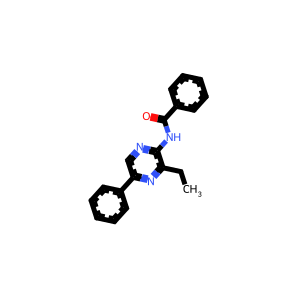 CCc1nc(-c2ccccc2)cnc1NC(=O)c1ccccc1